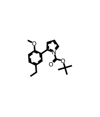 CCc1ccc(OC)c(-c2cccn2C(=O)OC(C)(C)C)c1